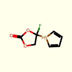 O=C1OCC(F)([SH]2C=CC=C2)O1